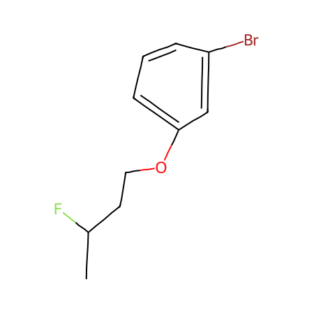 CC(F)CCOc1cccc(Br)c1